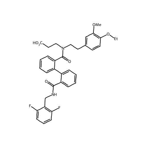 CCOc1ccc(CCN(CCC(=O)O)C(=O)c2ccccc2-c2ccccc2C(=O)NCc2c(F)cccc2F)cc1OC